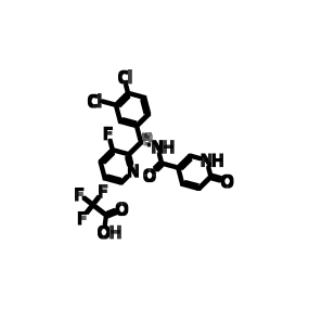 O=C(N[C@@H](c1ccc(Cl)c(Cl)c1)c1ncccc1F)c1ccc(=O)[nH]c1.O=C(O)C(F)(F)F